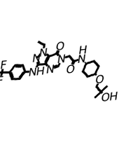 CCn1nc(Nc2ccc(C(F)(F)F)cc2)c2ncn(CC(=O)N[C@H]3CC[C@H](OCC(C)(C)O)CC3)c(=O)c21